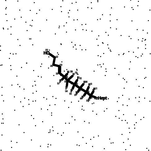 CCCCCCCC(F)(F)C(F)(F)C(F)(F)C(F)(F)C(F)(F)C(F)(F)/C=C/CCO